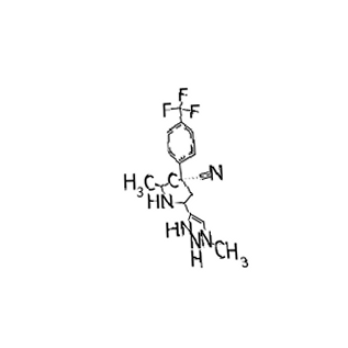 C[C@H]1C[C@@](C#N)(c2ccc(C(F)(F)F)cc2)CC(C2=CN(C)NN2)N1